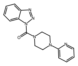 O=C(N1CCN(c2ccccn2)CC1)n1nnc2ccccc21